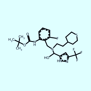 CC(C)(C)OC(=O)Nc1cccc(F)c1CN(CCC1CCSCC1)C(O)c1cc(C(F)(F)F)n[nH]1